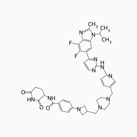 Cc1nc2c(F)c(F)c(-c3ccnc(Nc4ccc(CN5CCN(CC6CN(c7ccc(C(=O)NC8CCC(=O)NC8=O)cc7)C6)CC5)cn4)n3)cc2n1C(C)C